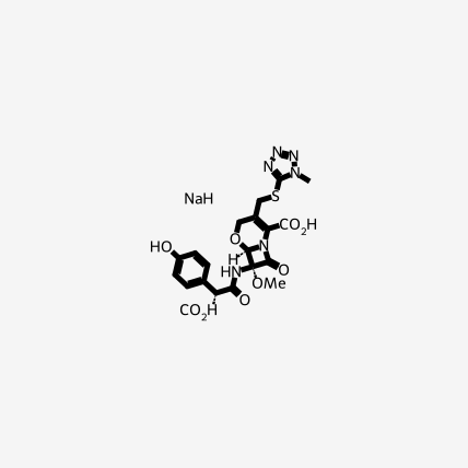 CO[C@@]1(NC(=O)[C@H](C(=O)O)c2ccc(O)cc2)C(=O)N2C(C(=O)O)=C(CSc3nnnn3C)CO[C@@H]21.[NaH]